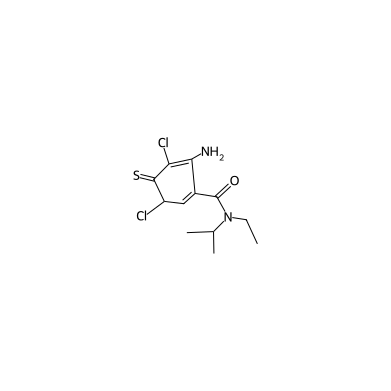 CCN(C(=O)C1=CC(Cl)C(=S)C(Cl)=C1N)C(C)C